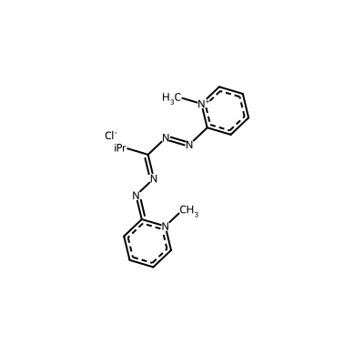 CC(C)C(N=Nc1cccc[n+]1C)=NN=c1ccccn1C.[Cl-]